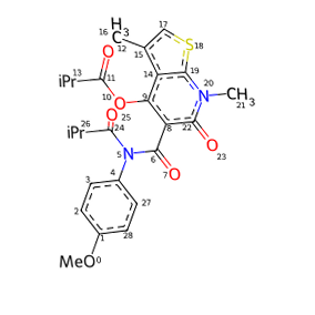 COc1ccc(N(C(=O)c2c(OC(=O)C(C)C)c3c(C)csc3n(C)c2=O)C(=O)C(C)C)cc1